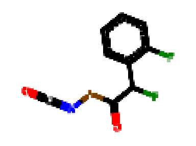 O=C=NSC(=O)C(F)c1ccccc1F